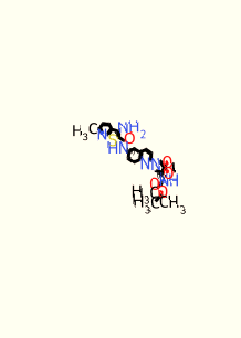 Cc1ccc2c(N)c(C(=O)N[C@H]3CCc4nc(N5C[C@@H](NC(=O)OC(C)(C)C)C6(C5)OCCO6)ccc4C3)sc2n1